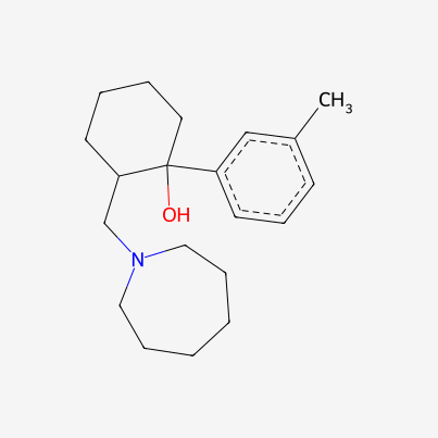 Cc1cccc(C2(O)CCCCC2CN2CCCCCC2)c1